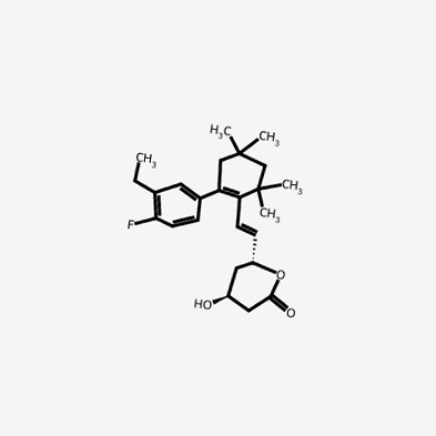 CCc1cc(C2=C(C=C[C@H]3C[C@H](O)CC(=O)O3)C(C)(C)CC(C)(C)C2)ccc1F